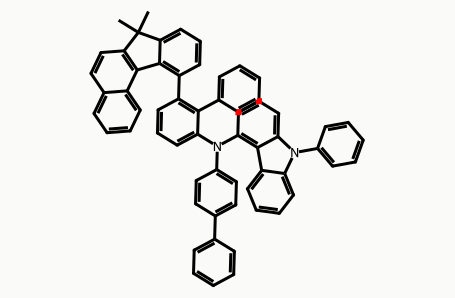 CC1(C)c2cccc(-c3cccc(N(c4ccc(-c5ccccc5)cc4)c4cccc5c4c4ccccc4n5-c4ccccc4)c3-c3ccccc3)c2-c2c1ccc1ccccc21